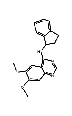 COc1cc2ncnc(NC3CCc4ccccc43)c2cc1OC